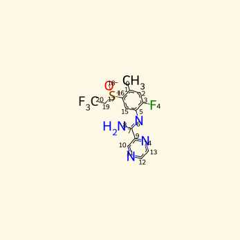 Cc1cc(F)c(/N=C(\N)c2cnccn2)cc1[S+]([O-])CC(F)(F)F